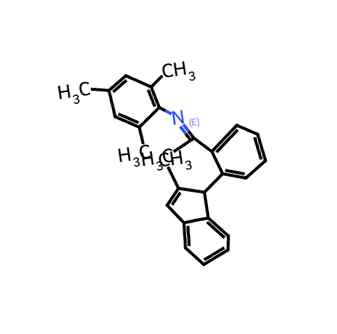 CC1=Cc2ccccc2C1c1ccccc1/C(C)=N/c1c(C)cc(C)cc1C